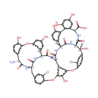 N[C@H]1C(=O)N[C@@H]2Cc3ccc(c(Cl)c3)Oc3cc4cc(c3O)Oc3ccc(cc3Cl)[C@@H](O)[C@@H]3NC(=O)[C@H](NC(=O)[C@@H]4NC(=O)[C@@H](NC2=O)c2cc(O)cc(c2)Oc2cc1ccc2O)c1ccc(O)c(c1)-c1c(O)cc(O)cc1[C@@H](C(=O)O)NC3=O